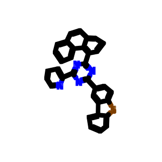 c1ccc(-c2nc(-c3ccc4sc5ccccc5c4c3)nc(-c3cccc4ccc5ccccc5c34)n2)nc1